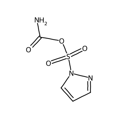 NC(=O)OS(=O)(=O)n1cccn1